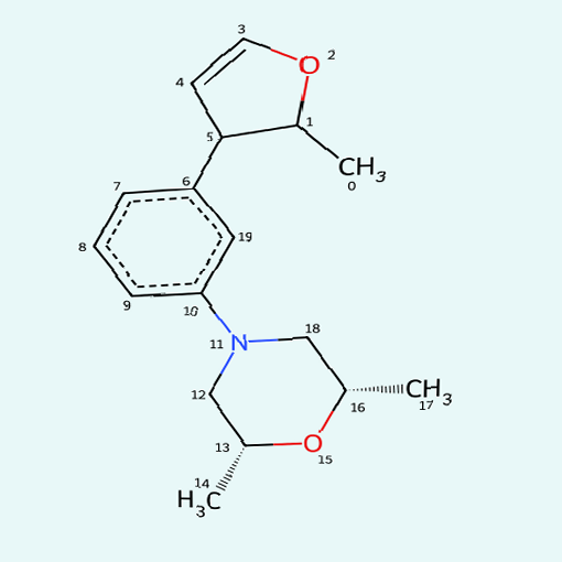 CC1OC=CC1c1cccc(N2C[C@@H](C)O[C@@H](C)C2)c1